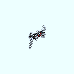 CC1(C)c2ccccc2-c2ccc(N(c3ccc4c(c3)-c3ccccc3C4(c3ccccc3)c3ccc(-c4ccc(C5(c6ccccc6)c6ccccc6-c6cccc(N(c7ccc(-c8ccc(-c9ccccc9)cc8)cc7)c7ccc8c(c7)-c7ccccc7C8(c7ccccc7)c7ccccc7)c65)cc4)cc3)c3cccc4c3C(c3ccccc3)(c3ccccc3)c3ccccc3-4)cc21